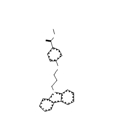 COC(=O)c1ccc(OCCCn2c3ccccc3c3ccccc32)cc1